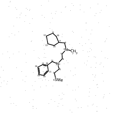 CSCCN(CCN(C)CC1CCCCC1)Cc1ccccc1